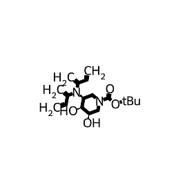 C=CC(=C)N(C(=C)C=C)[C@H]1CN(C(=O)OC(C)(C)C)C[C@H](O)[C@@H]1O